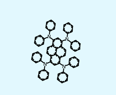 c1ccc(N(c2ccccc2)c2cc(N(c3ccccc3)c3ccccc3)c3ccc4c(N(c5ccccc5)c5ccccc5)cc(N(c5ccccc5)c5ccccc5)c5ccc2c3c54)cc1